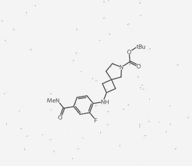 CNC(=O)c1ccc(NC2CC3(CCN(C(=O)OC(C)(C)C)C3)C2)c(F)c1